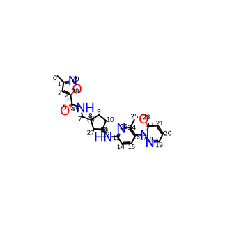 Cc1cc(C(=O)NC[C@H]2CC[C@@H](Nc3ccc(-n4ncccc4=O)c(C)n3)C2)on1